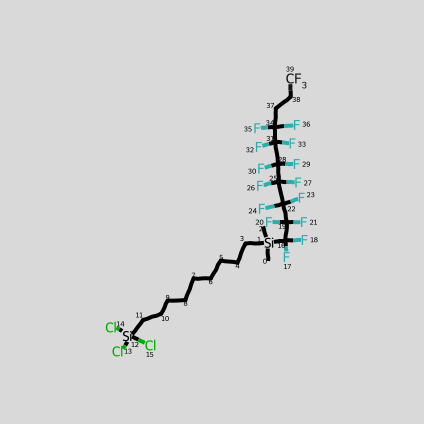 C[Si](C)(CCCCCCCCC[Si](Cl)(Cl)Cl)C(F)(F)C(F)(F)C(F)(F)C(F)(F)C(F)(F)C(F)(F)C(F)(F)CCC(F)(F)F